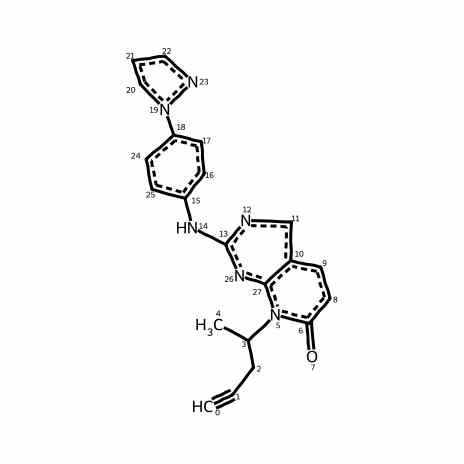 C#CCC(C)n1c(=O)ccc2cnc(Nc3ccc(-n4cccn4)cc3)nc21